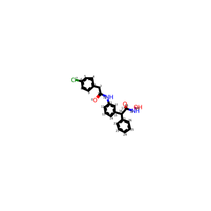 O=C(Cc1ccc(Cl)cc1)Nc1cccc(C(C(=O)NO)c2ccccc2)c1